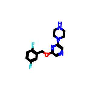 Fc1ccc(F)c(COc2cncc(N3CCNCC3)n2)c1